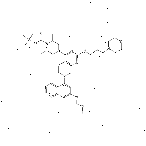 COCOc1cc(N2CCc3c(nc(OCCCN4CCOCC4)nc3N3CC(C)N(C(=O)OC(C)(C)C)C(C)C3)C2)c2ccccc2c1